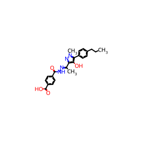 CCCc1ccc(-c2c(O)c(/C(C)=N/NC(=O)c3ccc(C(=O)O)cc3)nn2C)cc1